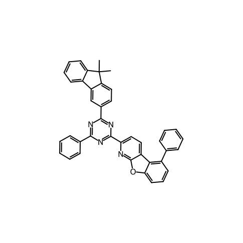 CC1(C)c2ccccc2-c2cc(-c3nc(-c4ccccc4)nc(-c4ccc5c(n4)oc4cccc(-c6ccccc6)c45)n3)ccc21